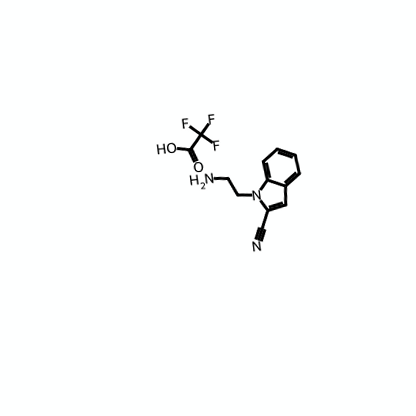 N#Cc1cc2ccccc2n1CCN.O=C(O)C(F)(F)F